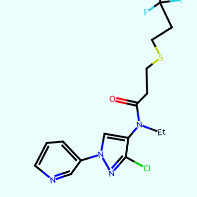 CCN(C(=O)CCSCCC(F)(F)C(F)(F)F)c1cn(-c2cccnc2)nc1Cl